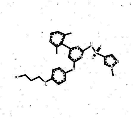 Cc1cccc(C)c1-c1cc(Oc2ccc(NCCCO)cc2)nc(NS(=O)(=O)c2cnn(C)c2)n1